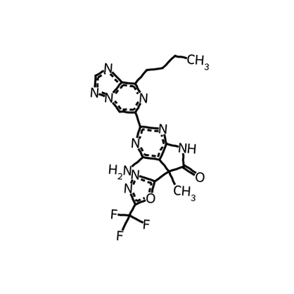 CCCCc1nc(-c2nc(N)c3c(n2)NC(=O)C3(C)c2nnc(C(F)(F)F)o2)cn2ncnc12